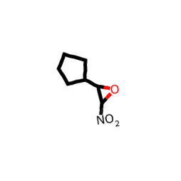 O=[N+]([O-])C1OC1C1CCCC1